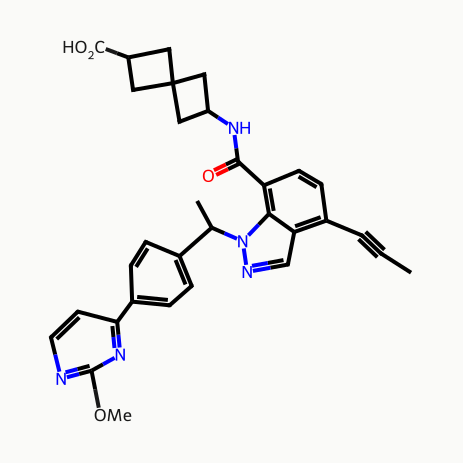 CC#Cc1ccc(C(=O)NC2CC3(C2)CC(C(=O)O)C3)c2c1cnn2C(C)c1ccc(-c2ccnc(OC)n2)cc1